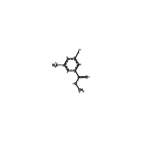 COC(=O)c1cc(C)cc(I)c1